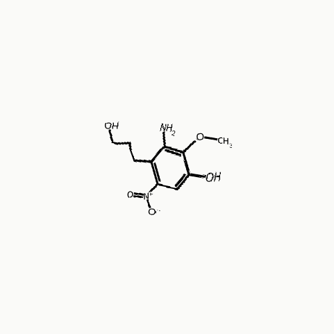 COc1c(O)cc([N+](=O)[O-])c(CCCO)c1N